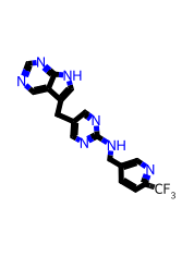 FC(F)(F)c1ccc(CNc2ncc(Cc3c[nH]c4ncncc34)cn2)cn1